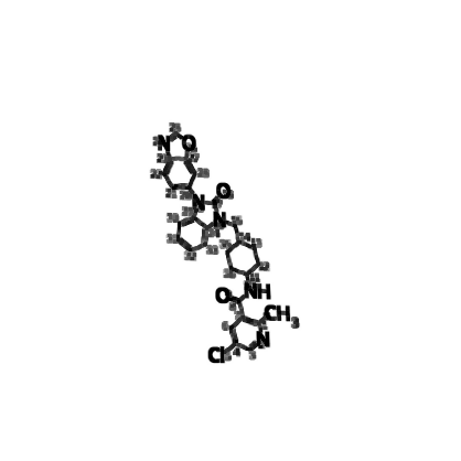 Cc1ncc(Cl)cc1C(=O)NC1CCC(Cn2c(=O)n(-c3ccc4ncoc4c3)c3ccccc32)CC1